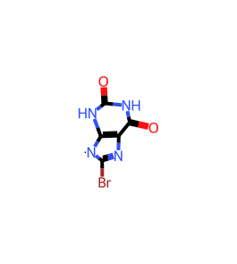 O=c1[nH]c2c(c(=O)[nH]1)N=C(Br)[N]2